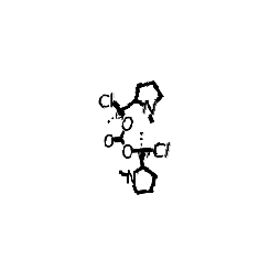 CN1CCCC1[C@](C)(Cl)OC(=O)O[C@@](C)(Cl)C1CCCN1C